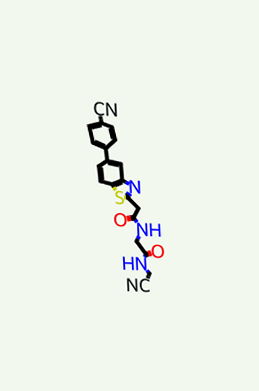 N#CCNC(=O)CNC(=O)Cc1nc2cc(-c3ccc(C#N)cc3)ccc2s1